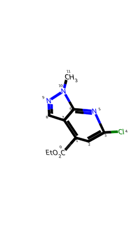 CCOC(=O)c1cc(Cl)nc2c1cnn2C